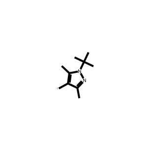 [CH]c1c(C)nn(C(C)(C)C)c1C